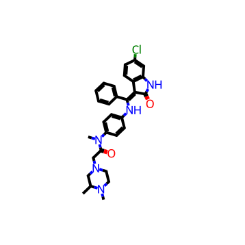 CC1CN(CC(=O)N(C)c2ccc(N/C(=C3\C(=O)Nc4cc(Cl)ccc43)c3ccccc3)cc2)CCN1C